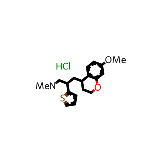 CNCC(CC1CCOc2cc(OC)ccc21)c1cccs1.Cl